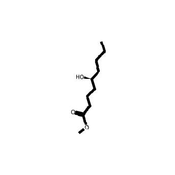 CCCC[C@H](O)CCCC(=O)OC